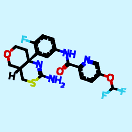 NC1=N[C@@]2(c3cc(NC(=O)c4ccc(OC(F)F)cn4)ccc3F)CCOC[C@H]2CS1